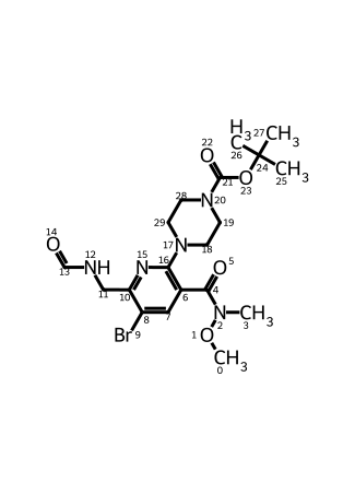 CON(C)C(=O)c1cc(Br)c(CNC=O)nc1N1CCN(C(=O)OC(C)(C)C)CC1